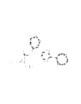 CN(C)C(=O)Oc1ccccc1-c1nc(-c2ccccc2)no1